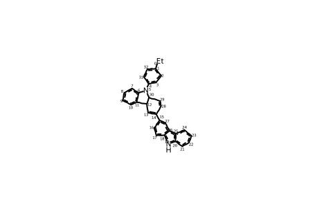 CCc1ccc(N2c3ccccc3C3C=C(c4ccc5[nH]c6ccccc6c5c4)C=CC32)cc1